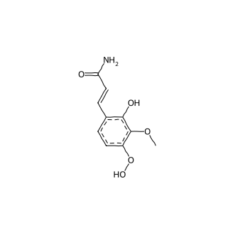 COc1c(OO)ccc(C=CC(N)=O)c1O